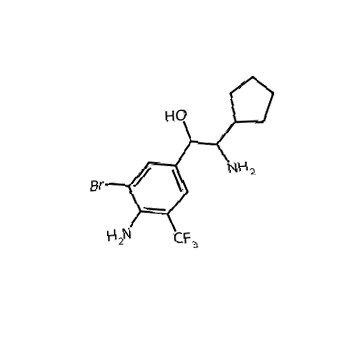 Nc1c(Br)cc(C(O)C(N)C2CCCC2)cc1C(F)(F)F